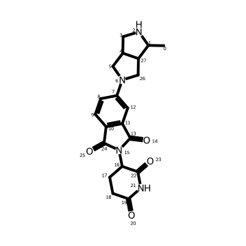 CC1NCC2CN(c3ccc4c(c3)C(=O)N(C3CCC(=O)NC3=O)C4=O)CC21